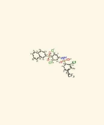 O=S(=O)(Nc1cc(Cl)c(S(=O)(=O)c2ccc3ccccc3c2)c(Cl)c1)c1ccc(C(F)(F)F)cc1Cl